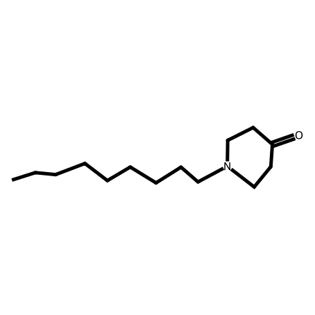 CCCCCCCCCN1CCC(=O)CC1